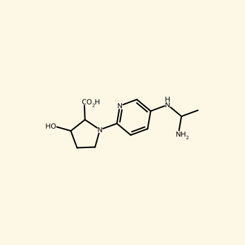 CC(N)Nc1ccc(N2CCC(O)C2C(=O)O)nc1